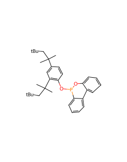 CC(C)(C)CC(C)(C)c1ccc(OP2Oc3ccccc3-c3ccccc32)c(C(C)(C)CC(C)(C)C)c1